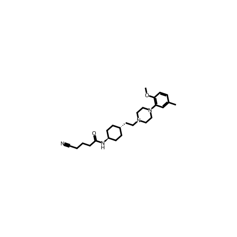 COc1ccc(C)cc1N1CCN(CC[C@H]2CC[C@H](NC(=O)CCCC#N)CC2)CC1